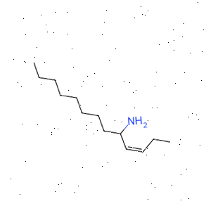 CC/C=C\C(N)CCCCCCCC